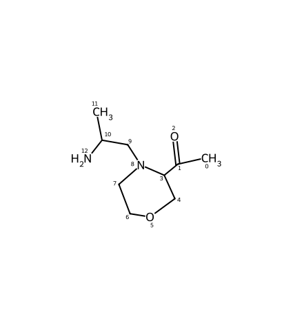 CC(=O)C1COCCN1CC(C)N